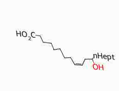 CCCCCCCC(O)C/C=C\CCCCCCCC(=O)O